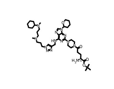 CN(CCCN(C)C1CCCCC1)CCCn1cc(CNc2nc(N3CCN(C(=O)CC[C@H](N)C(=O)OC(C)(C)C)CC3)nc3c2ncn3C2CCCCO2)nn1